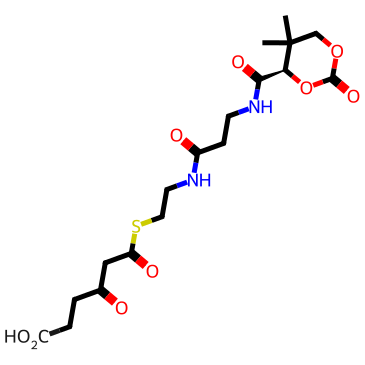 CC1(C)COC(=O)O[C@H]1C(=O)NCCC(=O)NCCSC(=O)CC(=O)CCC(=O)O